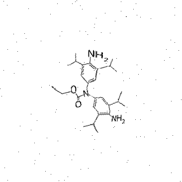 CCOC(=O)N(c1cc(C(C)C)c(N)c(C(C)C)c1)c1cc(C(C)C)c(N)c(C(C)C)c1